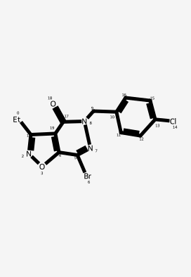 CCc1noc2c(Br)nn(Cc3ccc(Cl)cc3)c(=O)c12